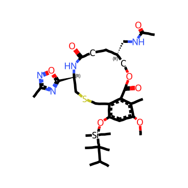 COc1cc(O[Si](C)(C)C(C)(C)C(C)C)c2c(c1C)C(=O)OC[C@@H](CNC(C)=O)CCC(=O)N[C@H](c1nc(C)no1)CSC2